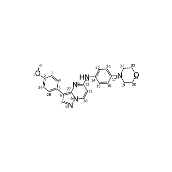 COc1ccc(-c2cnn3ccc(Nc4ccc(N5CCOCC5)cc4)nc23)cc1